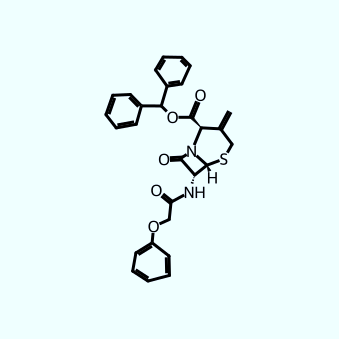 C=C1CS[C@@H]2[C@H](NC(=O)COc3ccccc3)C(=O)N2[C@H]1C(=O)OC(c1ccccc1)c1ccccc1